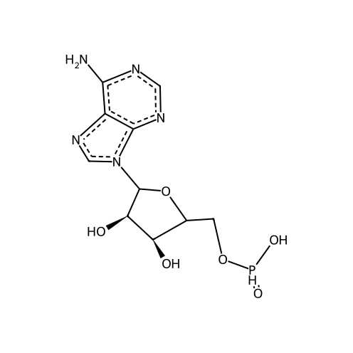 Nc1ncnc2c1ncn2C1OC(CO[PH](=O)O)[C@@H](O)[C@H]1O